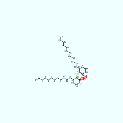 CCCCCCCCCCCCc1cccc(O)c1Sc1c(O)cccc1CCCCCCCCCCCC